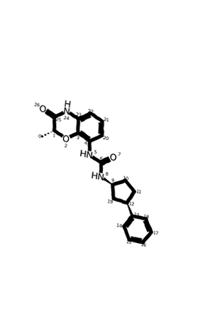 C[C@H]1Oc2c(NC(=O)N[C@H]3CC[C@@H](c4ccccc4)C3)cccc2NC1=O